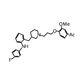 COc1cc(C(C)=O)ccc1OCCCN1CCCC(Cc2ccccc2Nc2ccc(F)cc2)C1